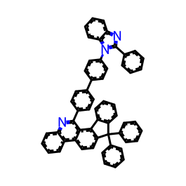 c1ccc(-c2nc3ccccc3n2-c2ccc(-c3ccc(-c4nc5ccccc5c5ccc6c(c45)-c4ccccc4C6(c4ccccc4)c4ccccc4)cc3)cc2)cc1